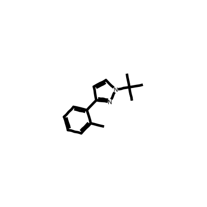 Cc1ccccc1-c1ccn(C(C)(C)C)n1